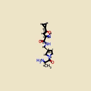 C[C@H](N)C(=O)N1CC[C@H](CNC(=O)c2cc(C3CC3)on2)C1